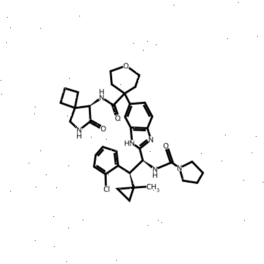 CC1([C@@H](c2ccccc2Cl)[C@H](NC(=O)N2CCCC2)c2nc3ccc(C4(C(=O)N[C@H]5C(=O)NCC56CCC6)CCOCC4)cc3[nH]2)CC1